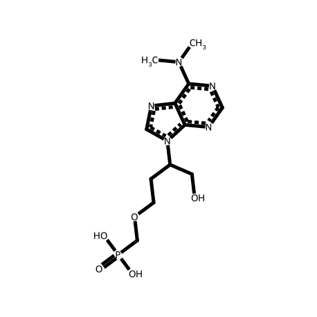 CN(C)c1ncnc2c1ncn2C(CO)CCOCP(=O)(O)O